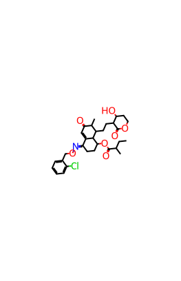 CCC(C)C(=O)OC1CCC(=NOCc2ccccc2Cl)C2=CC(=O)C(C)C(CCC3C(=O)OCCC3O)C21